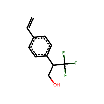 C=Cc1ccc(C(CO)C(F)(F)F)cc1